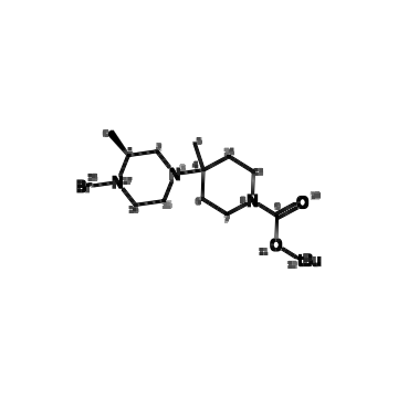 C[C@H]1CN(C2(C)CCN(C(=O)OC(C)(C)C)CC2)CCN1Br